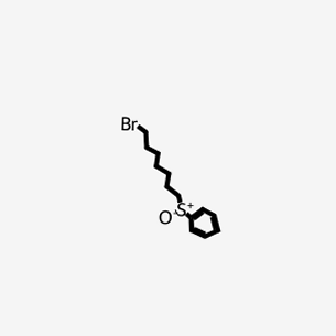 [O-][S+](CCCCCCCBr)c1ccccc1